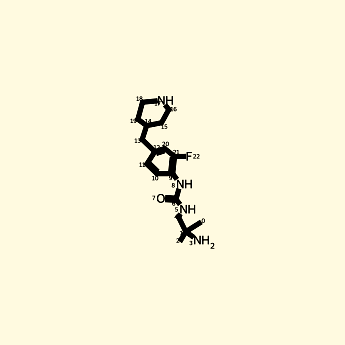 CC(C)(N)CNC(=O)Nc1ccc(CC2CCNCC2)cc1F